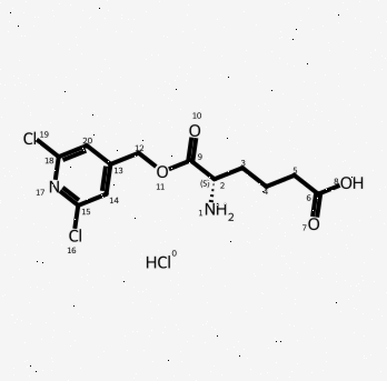 Cl.N[C@@H](CCCC(=O)O)C(=O)OCc1cc(Cl)nc(Cl)c1